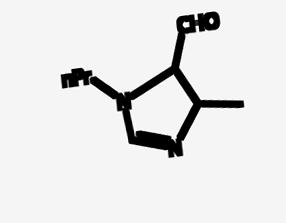 CCCN1C=NC(C)C1C=O